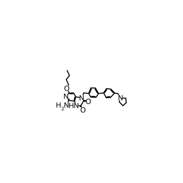 CCCCOc1cc2c([nH]c(=O)c(=O)n2Cc2ccc(-c3ccc(CN4CCCC4)cc3)cc2)c(N)n1